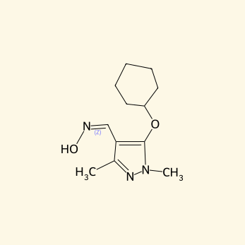 Cc1nn(C)c(OC2CCCCC2)c1/C=N\O